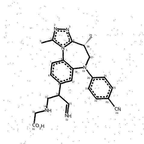 Cc1nnc2n1-c1ccc(C(C=N)CNCC(=O)O)cc1N(c1ccc(C#N)cc1)C[C@H]2C